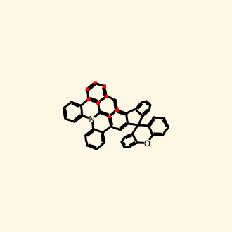 c1ccc(-c2ccccc2N(c2ccccc2-c2ccc3c(c2)C2(c4ccccc4Oc4ccccc42)c2ccccc2-3)c2cccc3ccccc23)cc1